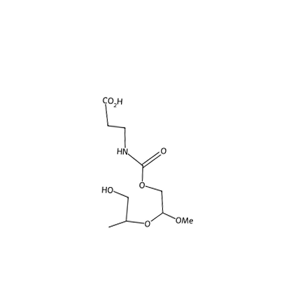 COC(COC(=O)NCCC(=O)O)OC(C)CO